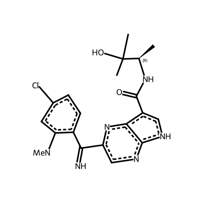 CNc1cc(Cl)ccc1C(=N)c1cnc2[nH]cc(C(=O)N[C@H](C)C(C)(C)O)c2n1